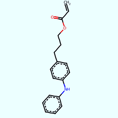 C=CC(=O)OCCCc1ccc(Nc2ccccc2)cc1